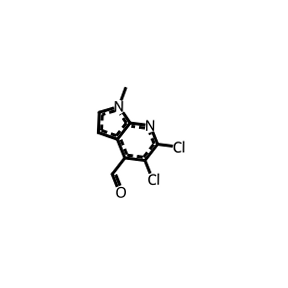 Cn1ccc2c(C=O)c(Cl)c(Cl)nc21